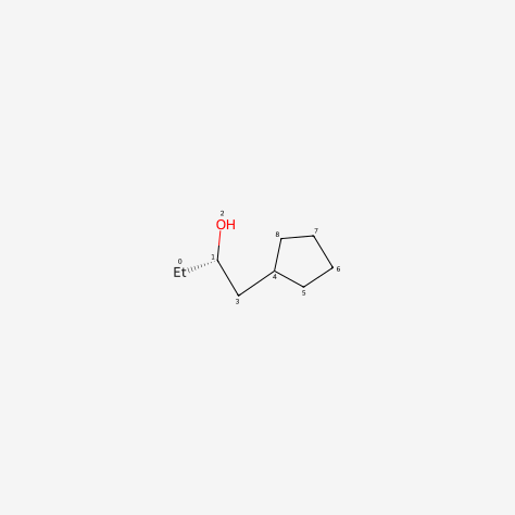 CC[C@H](O)CC1CCCC1